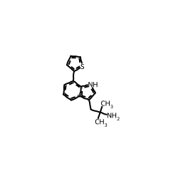 CC(C)(N)Cc1c[nH]c2c(-c3cccs3)cccc12